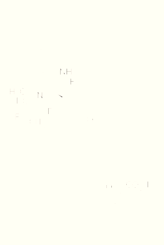 C[C@@H]1Cc2c([nH]c3ccccc23)[C@@H](c2c(F)cc(OCCCCCCOC3(C(=O)O)CC3)cc2F)N1CC(C)(C)F